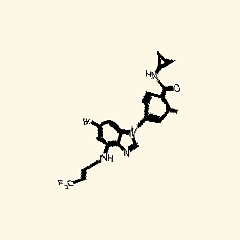 Cc1cc(-n2cnc3c(NCCC(F)(F)F)cc(Br)cc32)ccc1C(=O)NC1CC1